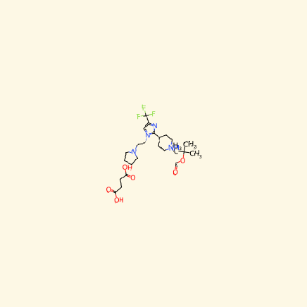 CC(C)(C)OC=O.FC(F)(F)c1cn(CCN2CCCC2)c(C2CCNCC2)n1.O=C(O)CCC(=O)O